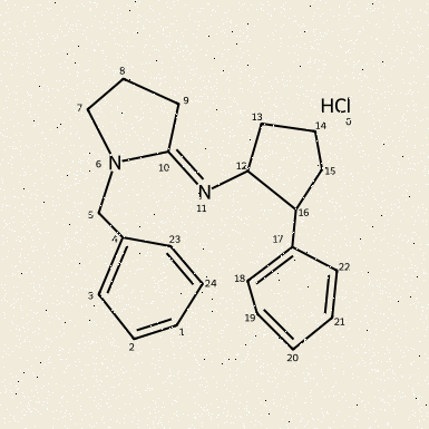 Cl.c1ccc(CN2CCCC2=NC2CCCC2c2ccccc2)cc1